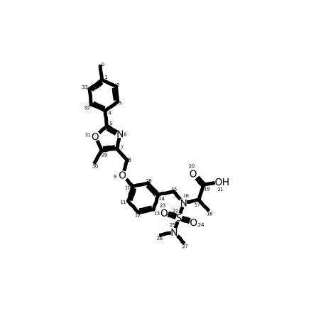 Cc1ccc(-c2nc(COc3cccc(CN(C(C)C(=O)O)S(=O)(=O)N(C)C)c3)c(C)o2)cc1